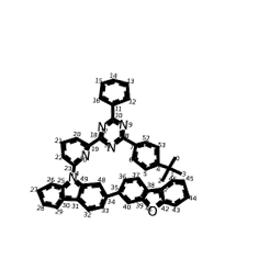 CC(C)(C)c1ccc(-c2nc(-c3ccccc3)nc(-c3cccc(-n4c5ccccc5c5ccc(-c6ccc7c(c6)oc6ccccc67)cc54)n3)n2)cc1